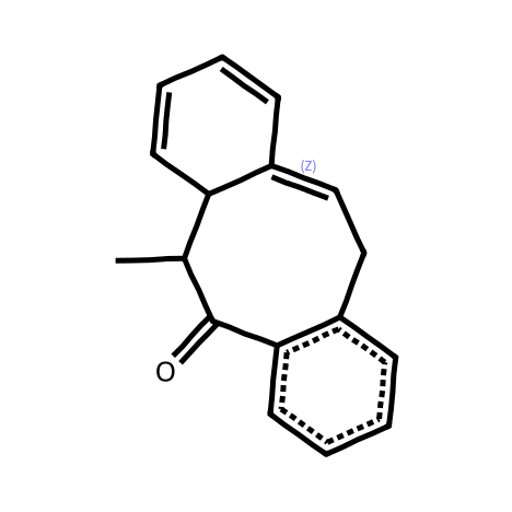 CC1C(=O)c2ccccc2C/C=C2/C=CC=CC21